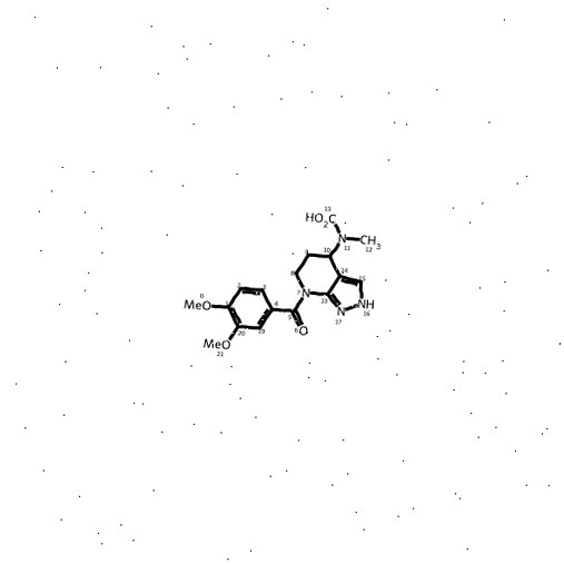 COc1ccc(C(=O)N2CCC(N(C)C(=O)O)c3c[nH]nc32)cc1OC